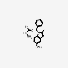 CCC(=O)NN.COc1ccc2c(c1)cc(C)n2Cc1ccccc1